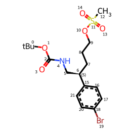 CC(C)(C)OC(=O)NC[C@@H](CCCOS(C)(=O)=O)c1ccc(Br)cc1